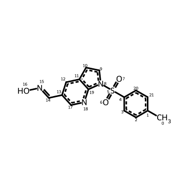 Cc1ccc(S(=O)(=O)n2ccc3cc(C=NO)cnc32)cc1